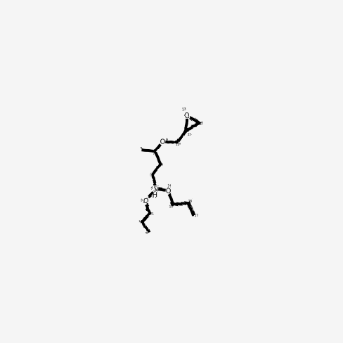 CCCO[SiH](CCC(C)OCC1CO1)OCCC